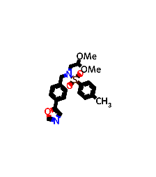 COC(CN(Cc1ccc(-c2cnco2)cc1)S(=O)(=O)c1ccc(C)cc1)OC